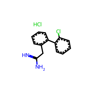 Cl.N=C(N)Cc1ccccc1-c1ccccc1Cl